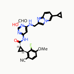 COc1ccc(C#N)c([C@H]2C[C@@H]2C(=O)Nc2cc(NCc3cn4cc(C5CC5)ccc4n3)ncn2)c1F.O=CO